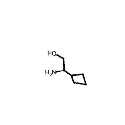 N[C@@H](CO)C1CCC1